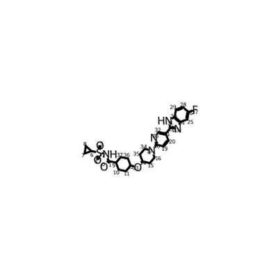 O=C(NS(=O)(=O)C1CC1)C1CCC(OC2CCN(c3ccc(-c4nc5cc(F)ccc5[nH]4)cn3)CC2)CC1